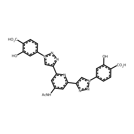 CC(=O)Nc1cc(-c2cn(-c3ccc(C(=O)O)c(O)c3)nn2)nc(-c2cn(-c3ccc(C(=O)O)c(O)c3)nn2)c1